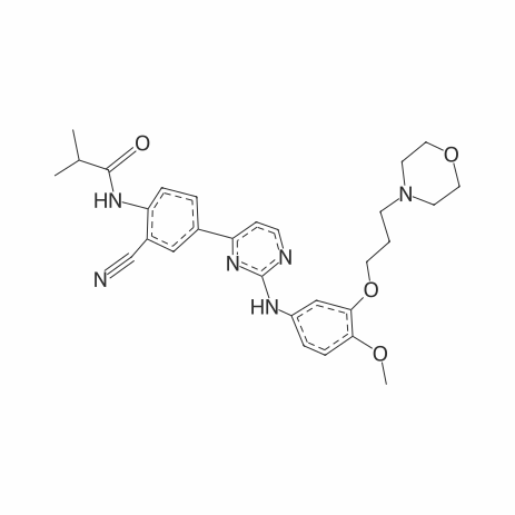 COc1ccc(Nc2nccc(-c3ccc(NC(=O)C(C)C)c(C#N)c3)n2)cc1OCCCN1CCOCC1